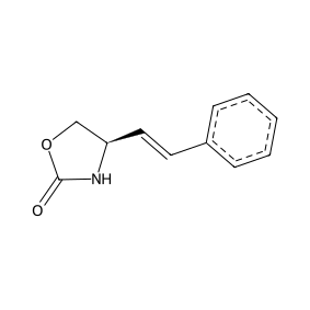 O=C1N[C@H](C=Cc2ccccc2)CO1